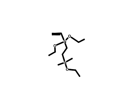 C=C[Si](CC[Si](C)(C)OCC)(OCC)OCC